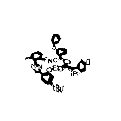 CC(C)[C@H](C(=O)O[C@H](C#N)c1cccc(Oc2ccccc2)c1)c1ccc(Cl)cc1.CCOc1cc(C(C)(C)C)ccc1C1COC(c2c(F)cccc2F)=N1